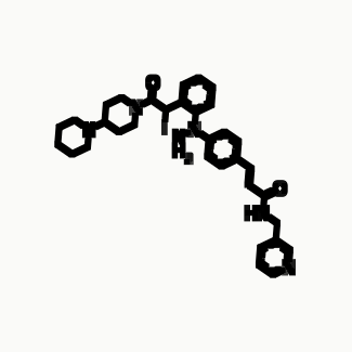 NN(c1ccc(/C=C/C(=O)NCc2cccnc2)cc1)c1ccccc1C(I)C(=O)N1CCC(N2CCCCC2)CC1